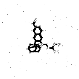 COC(C)OCOc1cc2ccc(C=O)cc2cc1C12CC3CC(CC(C3)C1)C2